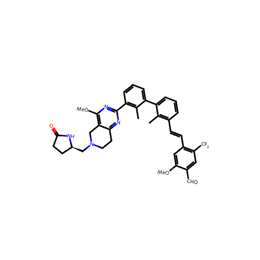 COc1cc(/C=C/c2cccc(-c3cccc(-c4nc5c(c(OC)n4)CN(C[C@H]4CCC(=O)N4)CC5)c3C)c2C)c(C(F)(F)F)cc1C=O